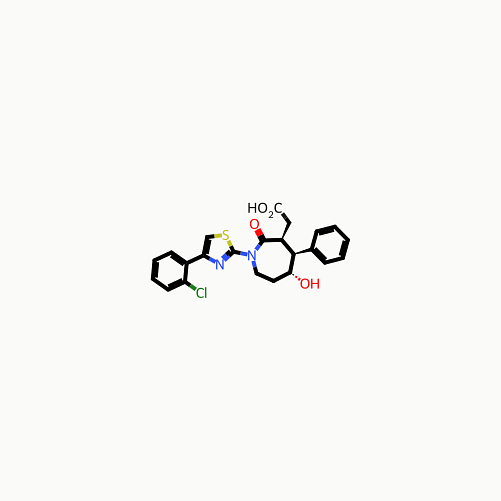 O=C(O)C[C@@H]1C(=O)N(c2nc(-c3ccccc3Cl)cs2)CC[C@@H](O)[C@@H]1c1ccccc1